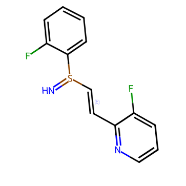 N=S(/C=C/c1ncccc1F)c1ccccc1F